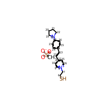 CS(=O)(=O)[O-].SCC[n+]1ccc(/C=C/c2ccc(N3CCCC3)cc2)cc1